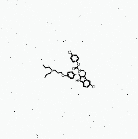 CCCN(CCC)CCCOc1ccc([C@H]2c3[nH]c4ccc(Cl)cc4c3CCN2C(=O)Oc2ccc(Cl)cc2)cc1